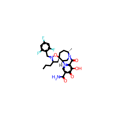 CCCC1C[C@]2(CC[C@H](C)N3C[C@H]2n2cc(C(N)=O)c(=O)c(O)c2C3=O)ON1Cc1c(F)cc(F)cc1F